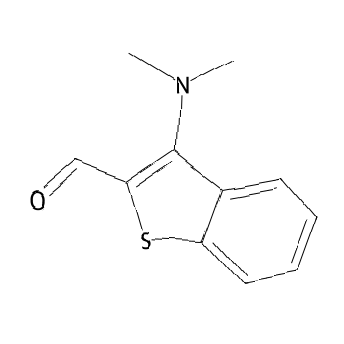 CN(C)c1c(C=O)sc2ccccc12